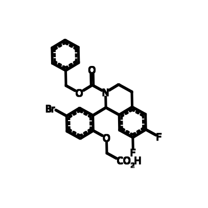 O=C(O)COc1ccc(Br)cc1C1c2cc(F)c(F)cc2CCN1C(=O)OCc1ccccc1